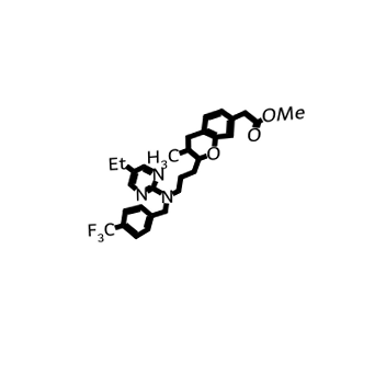 CCc1cnc(N(CCCC2Oc3cc(CC(=O)OC)ccc3CC2C)Cc2ccc(C(F)(F)F)cc2)nc1